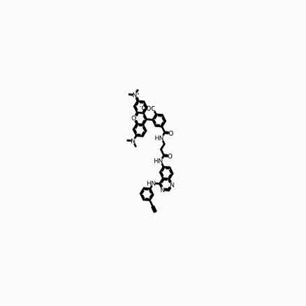 C#Cc1cccc(Nc2ncnc3ccc(NC(=O)CCNC(=O)c4ccc(C(=O)[O-])c(-c5c6ccc(=[N+](C)C)cc-6oc6cc(N(C)C)ccc56)c4)cc23)c1